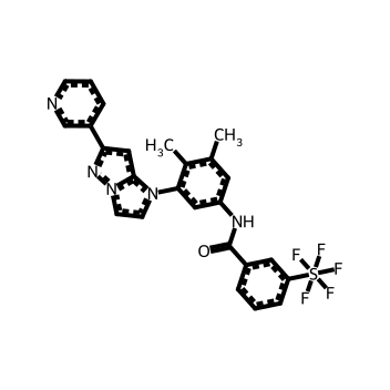 Cc1cc(NC(=O)c2cccc(S(F)(F)(F)(F)F)c2)cc(-n2ccn3nc(-c4cccnc4)cc23)c1C